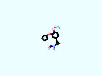 COc1ccc(C2CC2NC=O)cc1OC1CCCC1